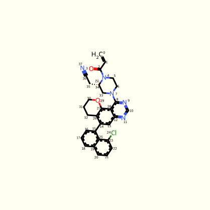 C=CC(=O)N1CCN(c2ncnc3cc(-c4cccc5cccc(Cl)c45)c4c(c23)OCCC4)C[C@@H]1CC#N